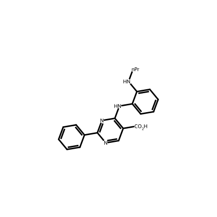 CCCNc1ccccc1Nc1nc(-c2ccccc2)ncc1C(=O)O